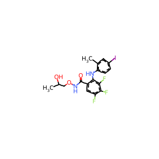 Cc1cc(I)ccc1Nc1c(C(=O)NOCC(C)O)cc(F)c(F)c1F